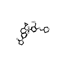 O=C1CCCN1c1ccc2c(c1)CCC(C1CC1)N2S(=O)(=O)c1ccc(OCC2CCOCC2)c(CO)c1